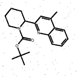 Cc1cc(C2CCCCN2C(=O)OC(C)(C)C)nc2ccccc12